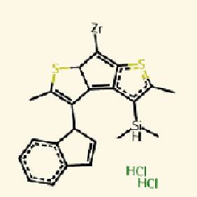 CC1=C(C2C=Cc3ccccc32)C2=c3c([SiH](C)C)c(C)sc3=[C]([Zr])C2S1.Cl.Cl